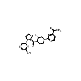 N#Cc1cncc([C@@H]2CCON2C(=O)[C@@H]2CCN(c3nccc(C(N)=O)n3)C[C@H]2F)n1